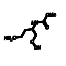 COC(=O)NC(CCC(=O)O)COO